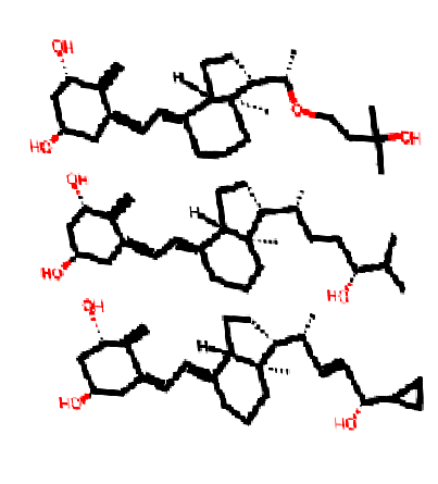 C=C1/C(=C\C=C2/CCC[C@]3(C)[C@@H]([C@H](C)/C=C/[C@@H](O)C4CC4)CC[C@@H]23)C[C@@H](O)C[C@@H]1O.C=C1/C(=C\C=C2/CCC[C@]3(C)[C@@H]([C@H](C)CC[C@@H](O)C(C)C)CC[C@@H]23)C[C@@H](O)C[C@@H]1O.C=C1/C(=C\C=C2/CCC[C@]3(C)[C@@H]([C@H](C)OCCC(C)(C)O)CC[C@@H]23)C[C@@H](O)C[C@@H]1O